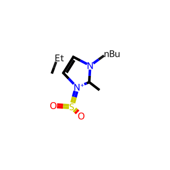 CCC.CCCCN1C=C[N+](=S(=O)=O)C1C